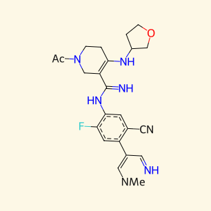 CN/C=C(\C=N)c1cc(F)c(NC(=N)C2=C(NC3CCOC3)CCN(C(C)=O)C2)cc1C#N